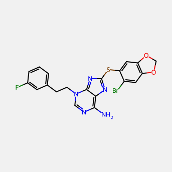 Nc1ncn(CCc2cccc(F)c2)c2nc(Sc3cc4c(cc3Br)OCO4)nc1-2